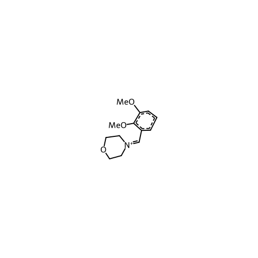 COc1cccc(C=[N+]2CCOCC2)c1OC